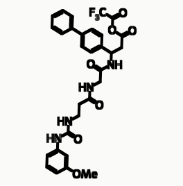 COc1cccc(NC(=O)NCCC(=O)NCC(=O)NC(CC(=O)OC(=O)C(F)(F)F)c2ccc(-c3ccccc3)cc2)c1